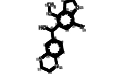 COc1c(C(O)c2ccc3c(c2)SCCO3)cc(Br)c2c1CCO2